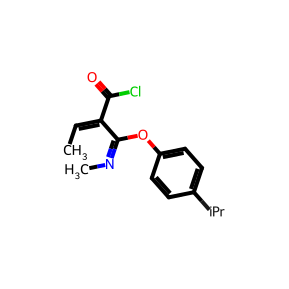 C/C=C(C(=O)Cl)\C(=N/C)Oc1ccc(C(C)C)cc1